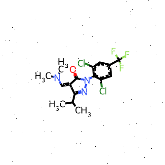 CC(C)C1=NN(c2c(Cl)cc(C(F)(F)F)cc2Cl)C(=O)C1=CN(C)C